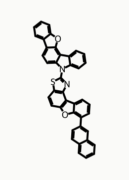 c1ccc2cc(-c3cccc4c3oc3ccc5sc(-n6c7ccccc7c7c8oc9ccccc9c8ccc76)nc5c34)ccc2c1